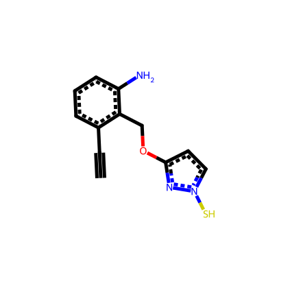 C#Cc1cccc(N)c1COc1ccn(S)n1